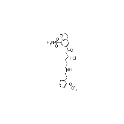 Cl.NS(=O)(=O)c1cc(C(=O)CCCCCNCCc2ccccc2OC(F)(F)F)cc2c1OCC2